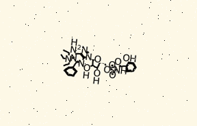 CC[N+](CC)(CC)N1C(c2ccccc2)=Nc2c(ncn2[C@@H]2O[C@H](COS(=O)(=O)NC(=O)c3ccccc3O)C(O)C2O)C1N